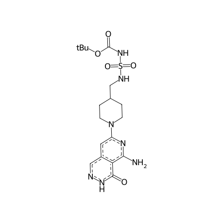 CC(C)(C)OC(=O)NS(=O)(=O)NCC1CCN(c2cc3cn[nH]c(=O)c3c(N)n2)CC1